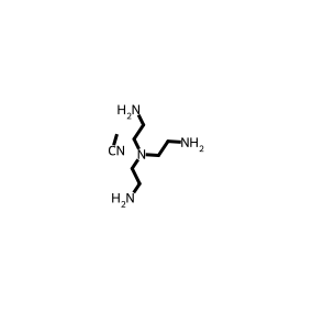 CC#N.NCCN(CCN)CCN